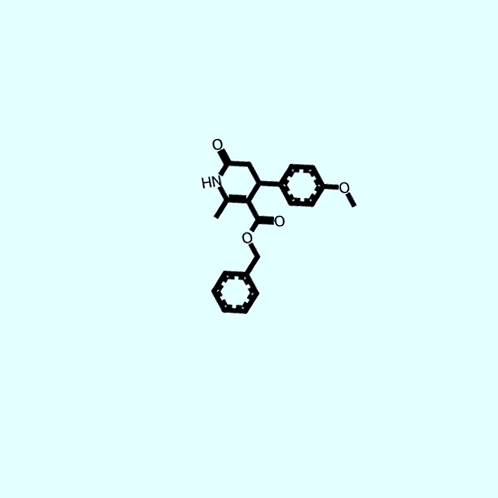 COc1ccc(C2CC(=O)NC(C)=C2C(=O)OCc2ccccc2)cc1